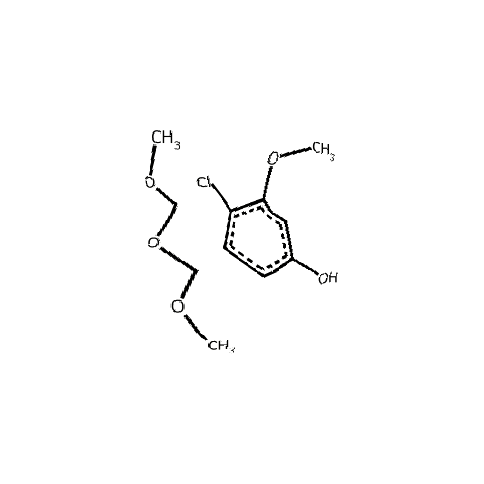 COCOCOC.COc1cc(O)ccc1Cl